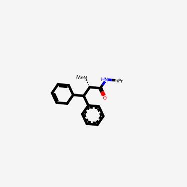 CCCNC(=O)[C@@H](NC)C(c1ccccc1)C1C=CC=CC1